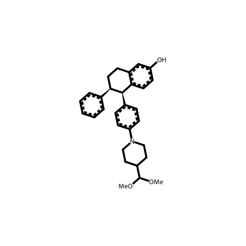 COC(OC)C1CCN(c2ccc([C@@H]3c4ccc(O)cc4CC[C@@H]3c3ccccc3)cc2)CC1